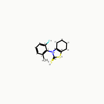 Cc1cccc(F)c1-n1c2c(sc1=S)CCCC2